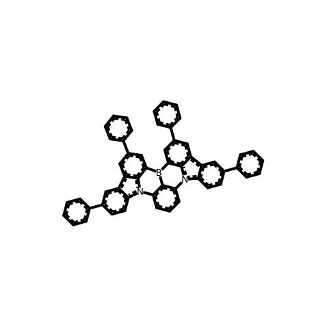 c1ccc(-c2ccc3c(c2)c2cc(-c4ccccc4)cc4c2n3-c2cccc3c2B4c2cc(-c4ccccc4)cc4c5cc(-c6ccccc6)ccc5n-3c24)cc1